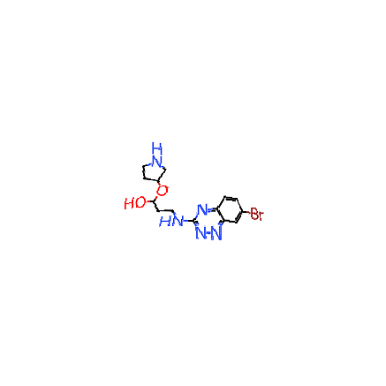 OC(CCNc1nnc2cc(Br)ccc2n1)OC1CCNC1